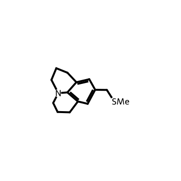 CSCc1cc2c3c(c1)CCCN3CCC2